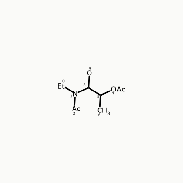 CCN(C(C)=O)C([O])C(C)OC(C)=O